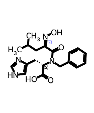 CC(C)C/C(=N/O)C(=O)N(Cc1ccccc1)[C@@H](Cc1c[nH]cn1)C(=O)O